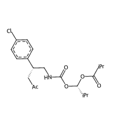 CC(=O)C[C@@H](CNC(=O)O[C@H](OC(=O)C(C)C)C(C)C)c1ccc(Cl)cc1